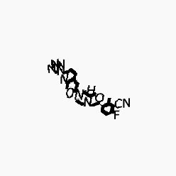 Cc1nc(-n2cnnn2)ccc1CC(=O)N1CCN2C[C@@H](c3ccc(F)c(C#N)c3C)OC[C@@H]2C1